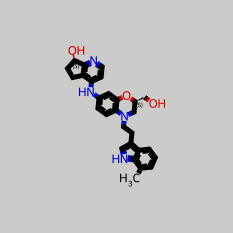 Cc1cccc2c(CCN3C[C@@H](CO)Oc4cc(Nc5ccnc6c5CC[C@@H]6O)ccc43)c[nH]c12